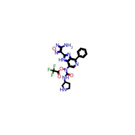 Nc1nonc1-c1nc2c(-c3ccccc3)ncc(N(OC(=O)C(F)(F)F)C(=O)NC3CCNC3)c2[nH]1